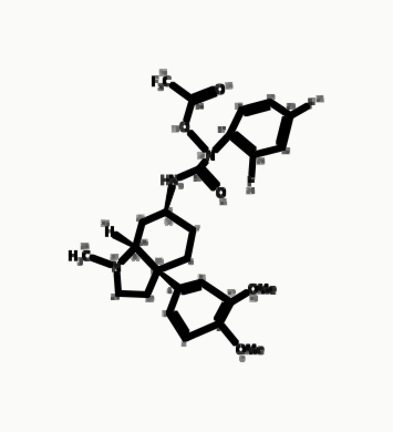 COc1ccc([C@]23CC[C@H](NC(=O)N(OC(=O)C(F)(F)F)c4ccc(F)cc4F)C[C@H]2N(C)CC3)cc1OC